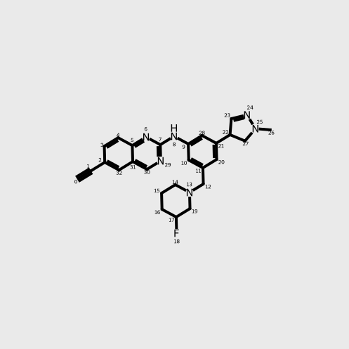 C#Cc1ccc2nc(Nc3cc(CN4CCCC(F)C4)cc(C4C=NN(C)C4)c3)ncc2c1